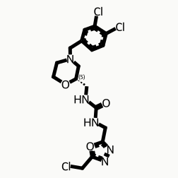 O=C(NCc1nnc(CCl)o1)NC[C@H]1CN(Cc2ccc(Cl)c(Cl)c2)CCO1